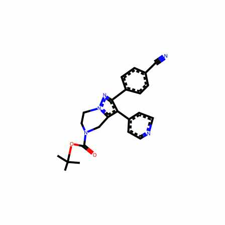 CC(C)(C)OC(=O)N1CCn2nc(-c3ccc(C#N)cc3)c(-c3ccncc3)c2C1